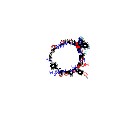 COc1ccc(C[C@@H]2NC(=O)[C@H]([C@@H](C)O)NC(=O)[C@@H]3C[C@H](F)CN3C(=O)[C@H](Cc3c[nH]c4ccc(F)cc34)NC(=O)[C@H](Cc3c[nH]c4ccc(F)cc34)NC(=O)[C@@H](C)NC(=O)CNC(=O)CCCCNCc3ccc(cc3)C[C@@H](C(N)=O)NC(=O)[C@]3(C)CCCN3C2=O)cc1